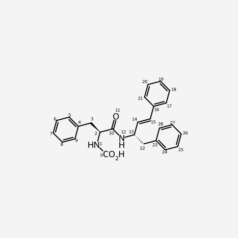 O=C(O)N[C@@H](Cc1ccccc1)C(=O)N[C@H](/C=C/c1ccccc1)Cc1ccccc1